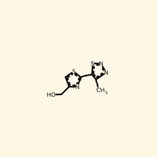 Cc1nnsc1-c1nc(CO)cs1